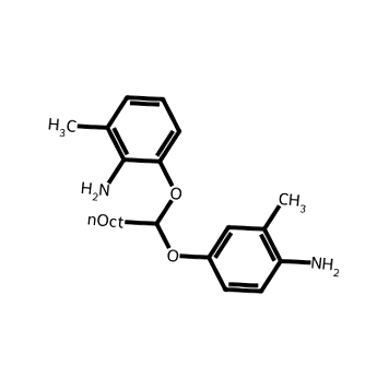 CCCCCCCCC(Oc1ccc(N)c(C)c1)Oc1cccc(C)c1N